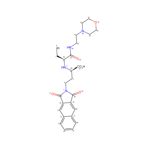 CC(C)C[C@H](N[C@H](CCN1C(=O)c2cc3ccccc3cc2C1=O)C(=O)O)C(=O)NCCN1CCOCC1